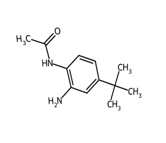 CC(=O)Nc1ccc(C(C)(C)C)cc1N